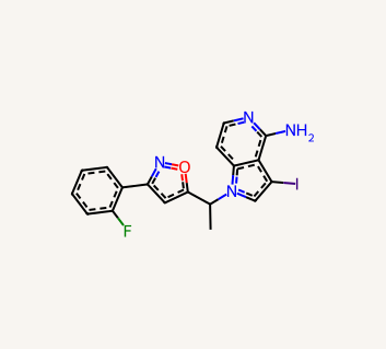 CC(c1cc(-c2ccccc2F)no1)n1cc(I)c2c(N)nccc21